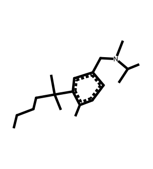 CCCCC(C)(C)c1cc(CN(C)C(C)C)ccc1C